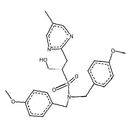 COc1ccc(CN(Cc2ccc(OC)cc2)S(=O)(=O)[C@H](CO)Cc2ncc(C)cn2)cc1